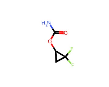 NC(=O)OC1CC1(F)F